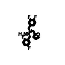 NN(Cc1cc(F)ccc1F)N(Cc1ccc(F)c(F)c1)Cc1ccco1